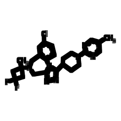 Cc1cnc(N2CCC(c3nnc4n3-c3ccc(Cl)cc3CN(C3(C)CC(F)(F)C3)C4)CC2)nc1